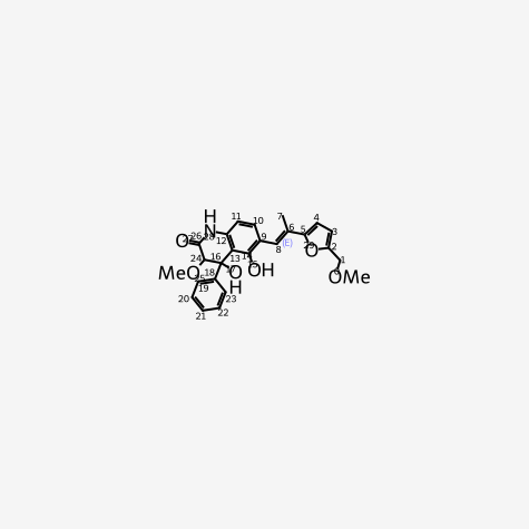 COCc1ccc(/C(C)=C/c2ccc3c(c2O)C(O)(c2ccccc2)C(OC)C(=O)N3)o1